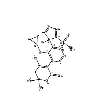 CCCC1(CCC)CC(O)=C(c2cccc([N+]3(C)C=CN=C3S(N)(=O)=O)c2CC2CC2)C(=O)O1